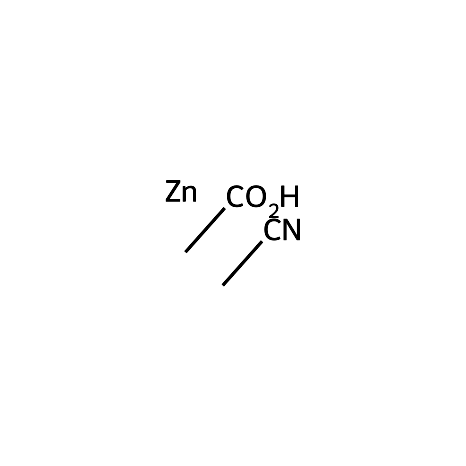 CC#N.CC(=O)O.[Zn]